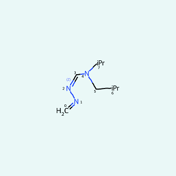 C=N/N=C\N(CC(C)C)C(C)C